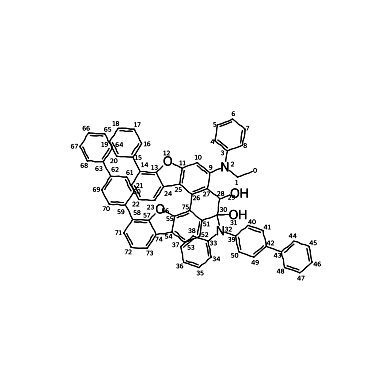 CCN(c1ccccc1)c1cc2oc3c(-c4ccccc4)cccc3c2c2c1C(O)C(O)(N(c1ccccc1)c1ccc(-c3ccccc3)cc1)c1ccc3c(oc4c(-c5ccc(-c6ccccc6)cc5)cccc43)c1-2